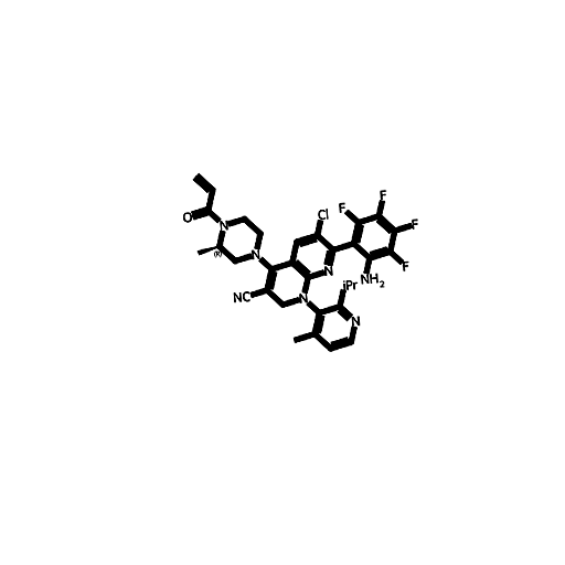 C=CC(=O)N1CCN(C2=C(C#N)CN(c3c(C)ccnc3C(C)C)c3nc(-c4c(N)c(F)c(F)c(F)c4F)c(Cl)cc32)C[C@H]1C